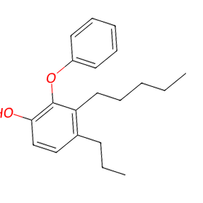 CCCCCc1c(CCC)ccc(O)c1Oc1ccccc1